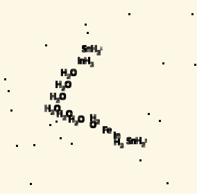 O.O.O.O.O.O.O.[Fe].[InH3].[InH3].[SnH2].[SnH2]